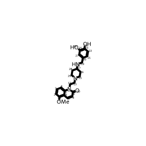 COc1cccc2c1ccc(=O)n2CCN1CCC(NCc2ccc(O)c(O)c2)CC1